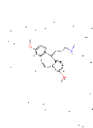 COc1ccc2c(c1)C=Cc1cc(OC)ccc1C2=CCCN(C)C